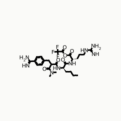 CCCC[C@@H](NC(=O)C(Cc1ccc(C(=N)N)cc1)C(=O)N(C)C)C(=O)N[C@@H](CCCNC(=N)N)C(=O)OC(=O)C(F)(F)F